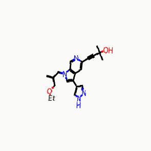 CCOCC(C)Cn1cc(-c2cn[nH]c2)c2cc(C#CC(C)(C)O)ncc21